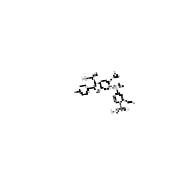 CNC(=O)c1c(-c2ccc(F)cc2)oc2cc(N(SC)c3ccc(B(O)O)c(C#N)c3)c(C3CC3)cc12